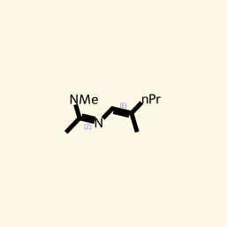 CCC/C(C)=C/N=C(/C)NC